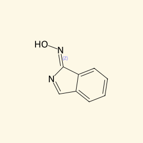 O/N=C1\N=Cc2ccccc21